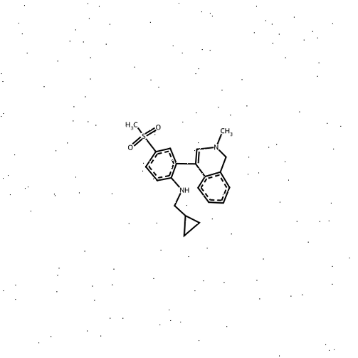 CN1C=C(c2cc(S(C)(=O)=O)ccc2NCC2CC2)c2ccccc2C1